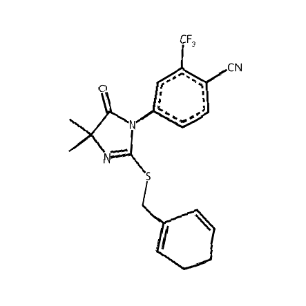 CC1(C)N=C(SCC2=CCCC=C2)N(c2ccc(C#N)c(C(F)(F)F)c2)C1=O